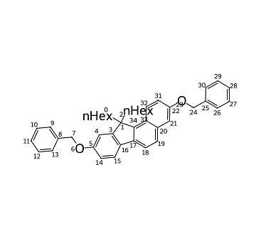 CCCCCCC1(CCCCCC)c2cc(OCc3ccccc3)ccc2-c2ccc3cc(OCc4ccccc4)ccc3c21